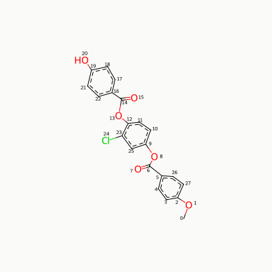 COc1ccc(C(=O)Oc2ccc(OC(=O)c3ccc(O)cc3)c(Cl)c2)cc1